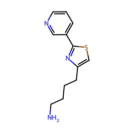 NCCCCc1csc(-c2cccnc2)n1